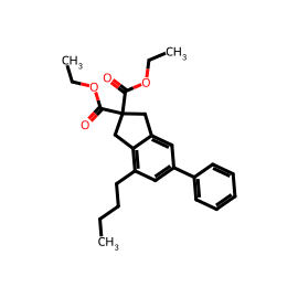 CCCCc1cc(-c2ccccc2)cc2c1CC(C(=O)OCC)(C(=O)OCC)C2